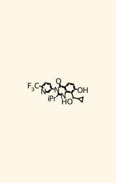 CC(C)c1nc2c(C(O)C3CC3)c(O)ccc2c(=O)n1-c1ccc(C(F)(F)F)nc1